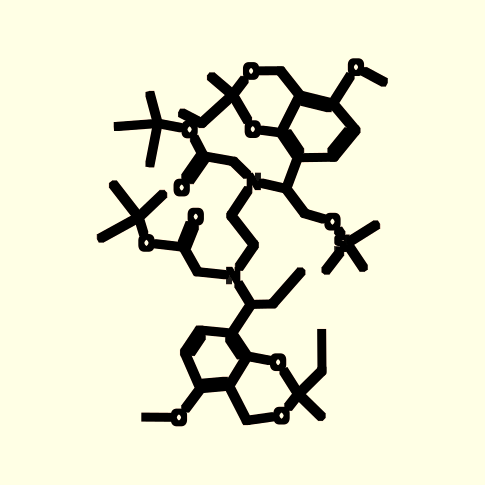 CCC(c1ccc(OC)c2c1OC(C)(CC)OC2)N(CCN(CC(=O)OC(C)(C)C)C(CO[Si](C)(C)C)c1ccc(OC)c2c1OC(C)(CC)OC2)CC(=O)OC(C)(C)C